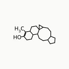 CC1=C(O)CCC2C1CCC13CC1CCC1CCCC1CCC23